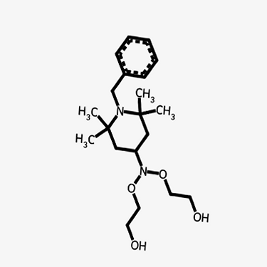 CC1(C)CC(N(OCCO)OCCO)CC(C)(C)N1Cc1ccccc1